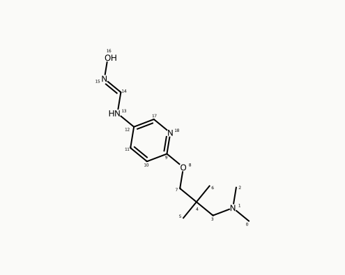 CN(C)CC(C)(C)COc1ccc(NC=NO)cn1